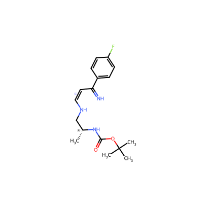 C[C@H](CN/C=C\C(=N)c1ccc(F)cc1)NC(=O)OC(C)(C)C